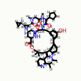 CCn1c(-c2cccnc2C(C)C)c2c3cc(ccc31)-c1cc(O)cc(c1)C[C@H](NC(=O)[C@H](C1CCCC1)N(C)C(=O)CN(C)C(=O)[C@H]1N[C@H]1C1(F)CC1)C(=O)N1CCC[C@H](N1)C(=O)OCC(C)(C)C2